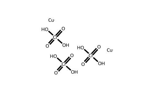 [Cu].[Cu].[O]=[Cr](=[O])([OH])[OH].[O]=[Cr](=[O])([OH])[OH].[O]=[Cr](=[O])([OH])[OH]